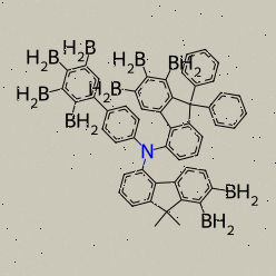 Bc1cc(-c2ccc(N(c3cccc4c3-c3ccc(B)c(B)c3C4(C)C)c3cccc4c3-c3cc(B)c(B)c(B)c3C4(c3ccccc3)c3ccccc3)cc2)c(B)c(B)c1B